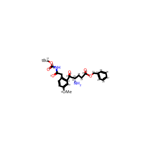 COc1ccc(CC(=O)NC(=O)OC(C)(C)C)c(C(=O)[C@@H](N)CCC(=O)OCc2ccccc2)c1